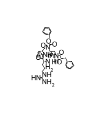 CC(C)C[C@H](NC(=O)[C@@H](N)CCCNC(=N)N)C(=O)N(C(=O)OCc1ccccc1)[C@H](CNC(=O)[C@H](O)Cc1ccccc1)C(C)C